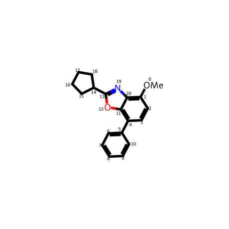 COc1ccc(-c2ccccc2)c2oc(C3CCCC3)nc12